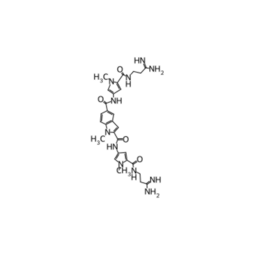 Cn1cc(NC(=O)c2ccc3c(c2)cc(C(=O)Nc2cc(C(=O)NCCC(=N)N)n(C)c2)n3C)cc1C(=O)NCCC(=N)N